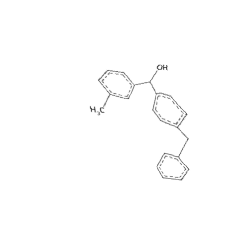 Cc1cccc(C(O)c2ccc(Cc3ccccc3)cc2)c1